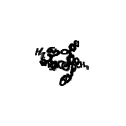 CN1CCCC(=C(c2cccs2)c2cccs2)C1.COc1cc(C(=O)c2ccc(Cl)cc2)cc(OC)c1OCCN1CCOCC1